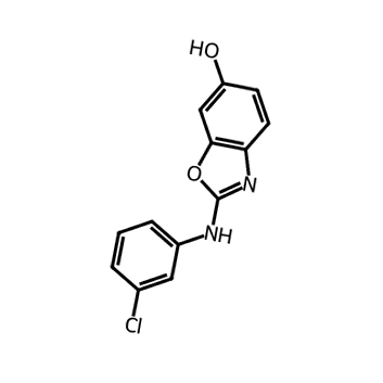 Oc1ccc2nc(Nc3cccc(Cl)c3)oc2c1